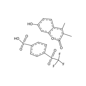 Cc1c(C)c2ccc(O)cc2oc1=O.O=S(=O)(O)c1ccc(S(=O)(=O)C(F)(F)F)cc1